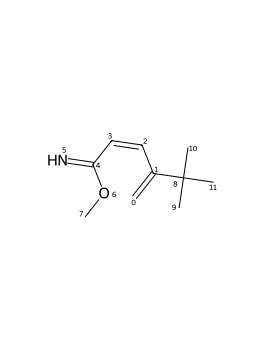 C=C(/C=C\C(=N)OC)C(C)(C)C